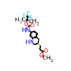 COC(=O)CC[C@@H]1CNc2cc(NC(=O)OC(C)(C)C(F)(F)F)ccc2C1